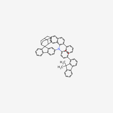 CC1(C)c2ccccc2-c2cccc(-c3ccc(N(c4ccc5c(c4)C4(c6ccccc6-5)C5CC6CC(C5)CC4C6)c4c(-c5ccccc5)ccc5ccccc45)cc3)c21